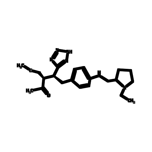 CCC[C@H](C(C)=O)[C@H](Cc1ccc(NCC2CCCN2CC)cc1)c1nn[nH]n1